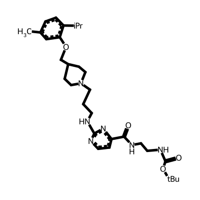 Cc1ccc(C(C)C)c(OCC2CCN(CCCNc3nccc(C(=O)NCCNC(=O)OC(C)(C)C)n3)CC2)c1